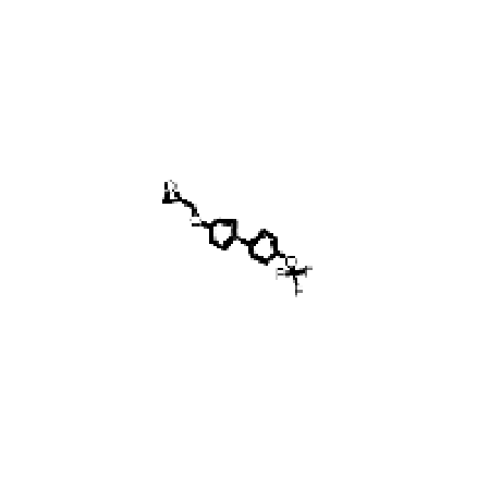 FC(F)(F)Oc1ccc(-c2ccc(OCC3CO3)cc2)cc1